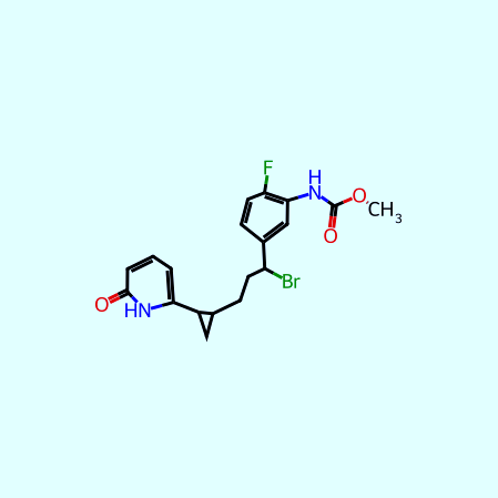 COC(=O)Nc1cc(C(Br)CCC2CC2c2cccc(=O)[nH]2)ccc1F